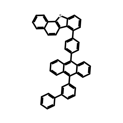 c1ccc(-c2cccc(-c3c4ccccc4c(-c4ccc(-c5cccc6sc7c8ccccc8ccc7c56)cc4)c4ccccc34)c2)cc1